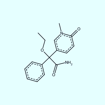 CCOC(C(N)=O)(c1ccccc1)c1ccc(=O)n(C)c1